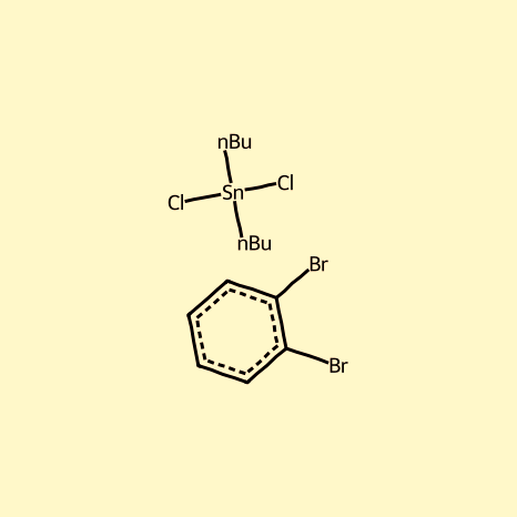 Brc1ccccc1Br.CCC[CH2][Sn]([Cl])([Cl])[CH2]CCC